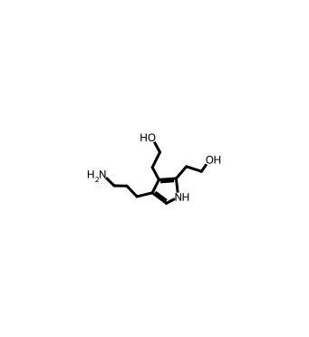 NCCCc1c[nH]c(CCO)c1CCO